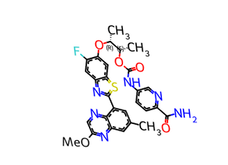 COc1cnc2c(-c3nc4cc(F)c(O[C@H](C)[C@H](C)OC(=O)Nc5ccc(C(N)=O)nc5)cc4s3)cc(C)cc2n1